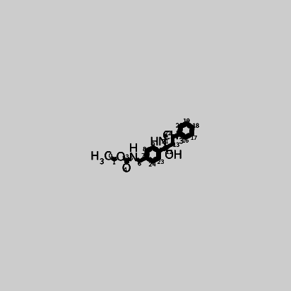 CCOC(=O)NCc1ccc(C(O)(CCc2ccccc2)NC)cc1